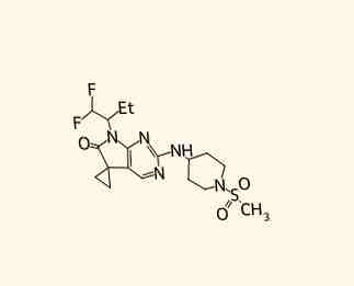 CCC(C(F)F)N1C(=O)C2(CC2)c2cnc(NC3CCN(S(C)(=O)=O)CC3)nc21